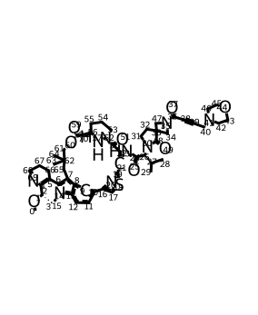 CO[C@@H](C)C1=C(c2c3c4cc(ccc4n2C)-c2csc(n2)C[C@H](NC(=O)[C@H](C(C)C)N2CCC4(CN(C(=O)C#CCN5CCOCC5)C4)C2=O)C(=O)N2CCC[C@H](N2)C(=O)OCC(C)(C)C3)CCC=N1